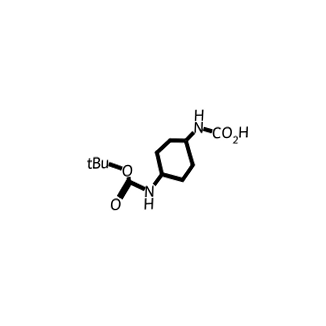 CC(C)(C)OC(=O)NC1CCC(NC(=O)O)CC1